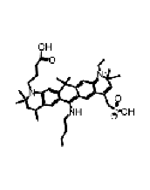 CCCCNC1=c2cc3c(cc2C(C)(C)c2cc4c(cc21)C(C)CC(C)(C)N4CCCC(=O)O)=[N+](CC)C(C)(C)C=C3CS(=O)(=O)O